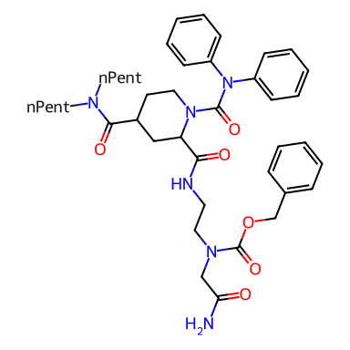 CCCCCN(CCCCC)C(=O)C1CCN(C(=O)N(c2ccccc2)c2ccccc2)C(C(=O)NCCN(CC(N)=O)C(=O)OCc2ccccc2)C1